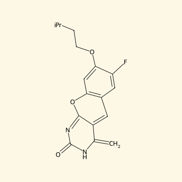 C=c1[nH]c(=O)nc2c1=Cc1cc(F)c(OCCC(C)C)cc1O2